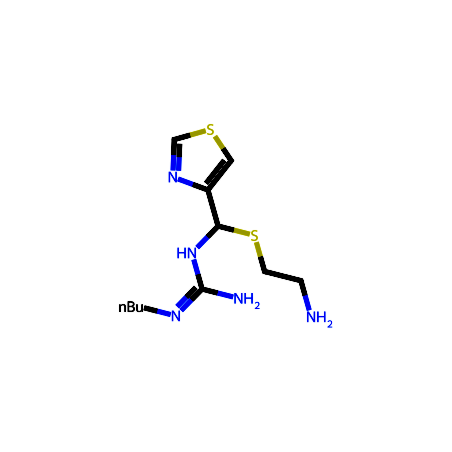 CCCC/N=C(/N)NC(SCCN)c1cscn1